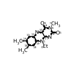 CCn1c2nc(=O)n(C)c(=O)c-2nc2cc(C)c(C)cc21